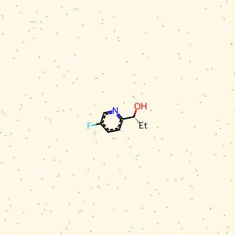 CC[C@@H](O)c1ccc(F)cn1